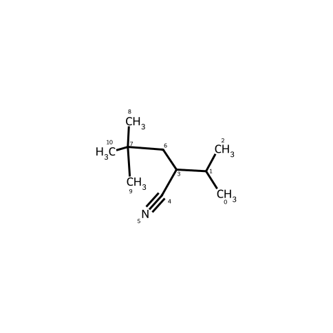 CC(C)C(C#N)CC(C)(C)C